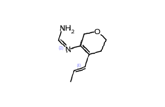 C/C=C/C1=C(/N=C\N)COCC1